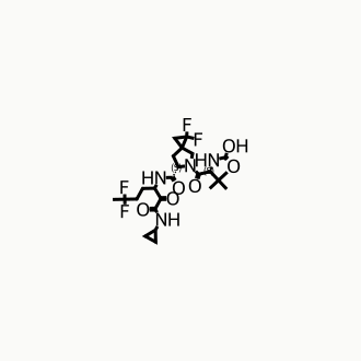 CC(F)(F)CCC(NC(=O)[C@@H]1CC2(CN1C(=O)[C@@H](NC(=O)O)C(C)(C)C)CC2(F)F)C(=O)C(=O)NC1CC1